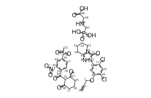 C#CCOc1cc(-n2nc3n(c2=O)CCCC3)c(Cl)cc1Cl.CS(=O)(=O)c1ccc(C(=O)C2C(=O)CCCC2=O)c([N+](=O)[O-])c1.O=C(O)CNCP(=O)(O)O